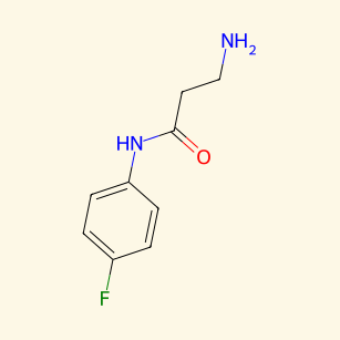 NCCC(=O)Nc1ccc(F)cc1